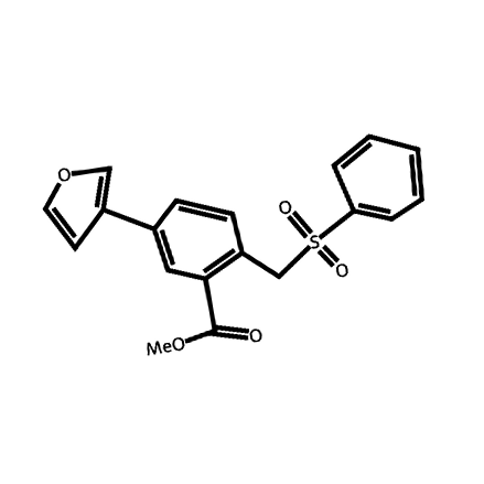 COC(=O)c1cc(-c2ccoc2)ccc1CS(=O)(=O)c1ccccc1